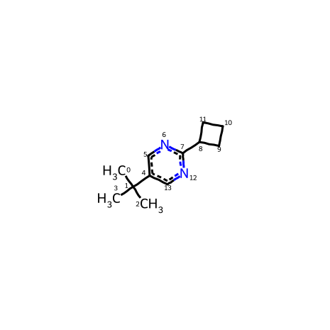 CC(C)(C)c1cnc(C2CCC2)nc1